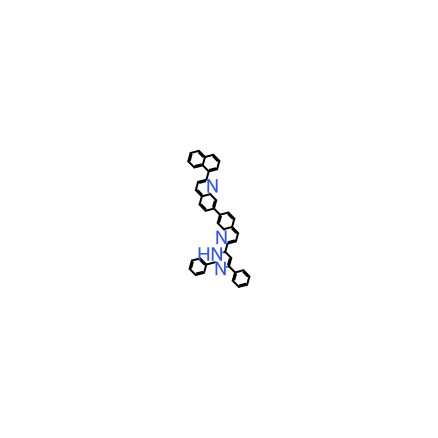 C1=C(c2ccccc2)N=C(c2ccccc2)NC1c1ccc2ccc(-c3ccc4ccc(-c5cccc6ccccc56)nc4c3)cc2n1